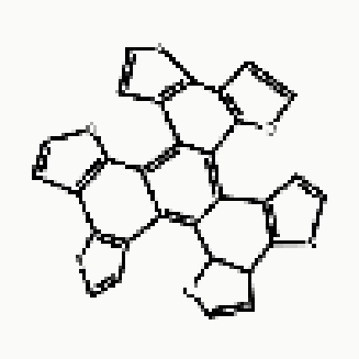 C1=CC2c3sccc3-c3c(c4c5ccsc5c5ccoc5c4c4c5ccsc5c5ccoc5c34)C2O1